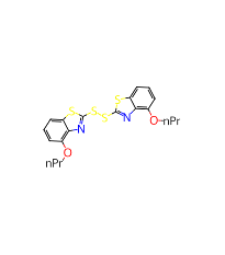 CCCOc1cccc2sc(SSc3nc4c(OCCC)cccc4s3)nc12